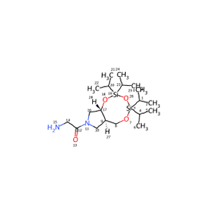 CC(C)[Si]1(C(C)C)OC[C@H]2CN(C(=O)CN)C[C@@H]2O[Si](C(C)C)(C(C)C)O1